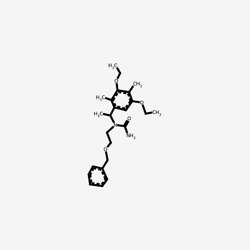 CCOc1cc(C(C)N(CCOCc2ccccc2)C(N)=O)c(C)c(OCC)c1C